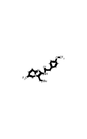 CC(C)(C)Cc1c(NC(=O)Cc2ccc(OC(F)(F)F)cc2)nc2ccc(C(F)(F)F)cn12